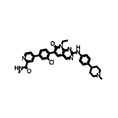 CCn1c(=O)c(-c2ccc(-c3ccnc(C(=O)NC)c3)cc2Cl)cc2cnc(Nc3ccc(C4CCN(C)CC4)cc3)nc21